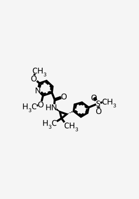 COc1ccc(C(=O)N[C@H]2[C@H](c3ccc(S(C)(=O)=O)cc3)C2(C)C)c(OC)n1